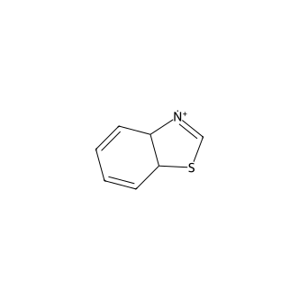 C1=CC2[N+]=CSC2C=C1